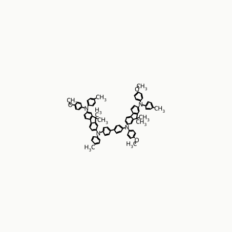 COc1ccc(N(c2ccc(C)cc2)c2ccc3c(c2)C(C)(C)c2cc(N(c4ccc(C)cc4)c4ccc(-c5ccc(N(c6ccc(OC)cc6)c6ccc7c(c6)C(C)(C)c6cc(N(c8ccc(C)cc8)c8ccc(OC)cc8)ccc6-7)cc5)cc4)ccc2-3)cc1